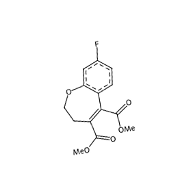 COC(=O)C1=C(C(=O)OC)c2ccc(F)cc2OCC1